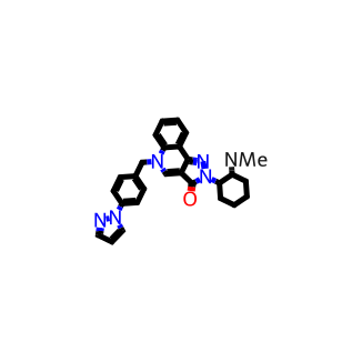 CNC1CCCCC1n1nc2c3ccccc3n(Cc3ccc(-n4cccn4)cc3)cc-2c1=O